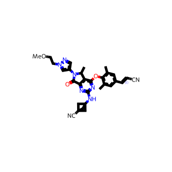 COCCn1cc(N2C(=O)c3nc(NC45CC(C#N)(C4)C5)nc(Oc4c(C)cc(/C=C/C#N)cc4C)c3C2C)cn1